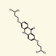 CCN(CC)CCOc1ccc2c(=O)c3cc(OCCN(CC)CC)ccc3[nH]c2c1